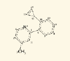 Cc1ccnc(-c2ccccc2C2C=C2)c1